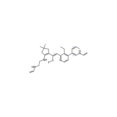 C=CN/C=C(\C=C/C)c1ccnc(/C=C(\SF)C2=C(NCCNC=C)CC(C)(C)C2)c1CC